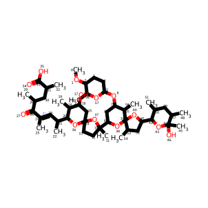 COC1CCC(OC2CC(C3(C)CCC4(CC(O)C(C)C(C(C)/C=C(\C)C(=O)C(C)CC(C)C(=O)O)O4)O3)OC3(OC(C4OC(C)(O)C(C)CC4C)CC3C)C2C)OC1C